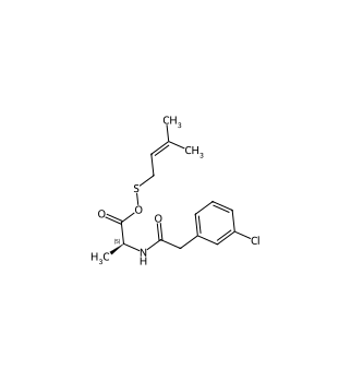 CC(C)=CCSOC(=O)[C@H](C)NC(=O)Cc1cccc(Cl)c1